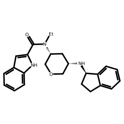 CCN(C(=O)c1cc2ccccc2[nH]1)[C@H]1COC[C@@H](N[C@@H]2CCc3ccccc32)C1